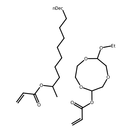 C=CC(=O)OC(C)CCCCCCCCCCCCCCCCC.C=CC(=O)OC1COCC(OCC)OCCO1